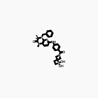 C[C@@H]1C(=O)N(C)c2ccc(Nc3ccc(C(=O)N4CC5(CCS5(O)O)C4)cc3)nc2N1Cc1ccccc1